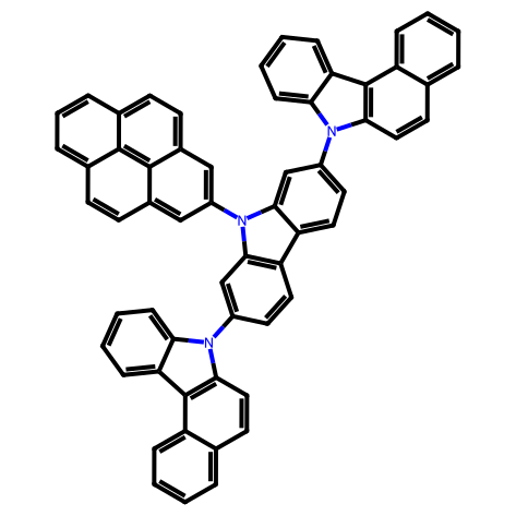 c1ccc2c(c1)ccc1c2c2ccccc2n1-c1ccc2c3ccc(-n4c5ccccc5c5c6ccccc6ccc54)cc3n(-c3cc4ccc5cccc6ccc(c3)c4c56)c2c1